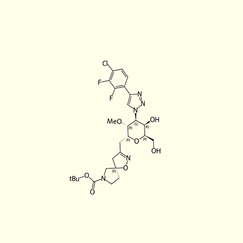 CO[C@@H]1[C@@H](n2cc(-c3ccc(Cl)c(F)c3F)nn2)[C@@H](O)[C@@H](CO)O[C@@H]1CC1=NO[C@]2(CCN(C(=O)OC(C)(C)C)C2)C1